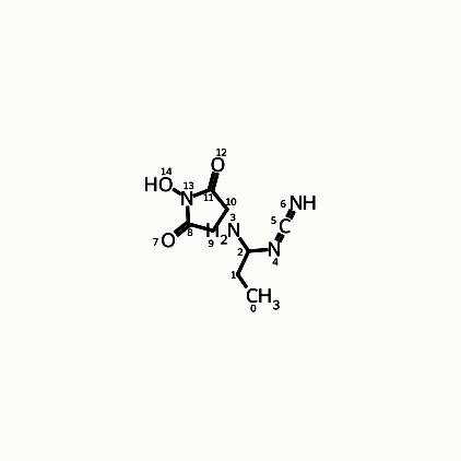 CCC(N)N=C=N.O=C1CCC(=O)N1O